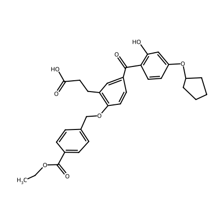 CCOC(=O)c1ccc(COc2ccc(C(=O)c3ccc(OC4CCCC4)cc3O)cc2CCC(=O)O)cc1